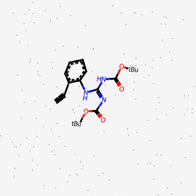 C#Cc1ccccc1NC(=NC(=O)OC(C)(C)C)NC(=O)OC(C)(C)C